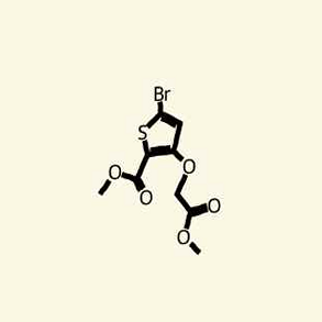 COC(=O)COc1cc(Br)sc1C(=O)OC